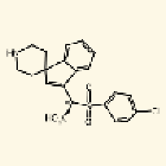 O=C(O)[C@@H](C1=CC2(CCNCC2)c2ccccc21)S(=O)(=O)c1ccc(Cl)cc1